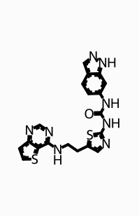 O=C(Nc1ccc2cn[nH]c2c1)Nc1ncc(CCNc2ncnc3ccsc23)s1